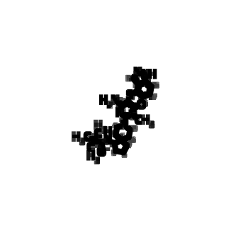 Cn1c(N2CCC3(CCC[C@H]3N[S@+]([O-])C(C)(C)C)CC2)nc(N)c(Sc2cccc3[nH]ncc23)c1=O